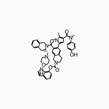 Cc1c(C(=O)N(C)c2ccc(O)cc2)cc(-c2cc3c(cc2C(=O)N2Cc4ccccc4C[C@H]2CN2CCOCC2)CN(C(=O)Oc2cccc4cc[nH]c24)CC3)n1C